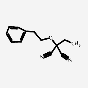 CCC(C#N)(C#N)OCCc1ccccc1